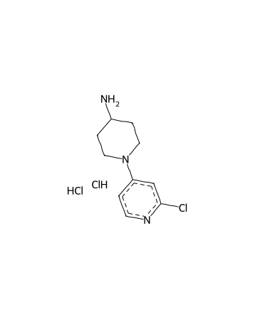 Cl.Cl.NC1CCN(c2ccnc(Cl)c2)CC1